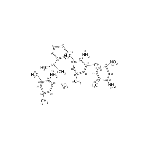 CN(C)c1ccccc1.Cc1cc(C)c(N)c(C)c1.Cc1cc(C)c(N)c([N+](=O)[O-])c1.Cc1ccc([N+](=O)[O-])cc1N